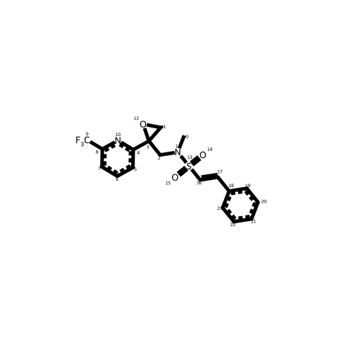 CN(CC1(c2cccc(C(F)(F)F)n2)CO1)S(=O)(=O)C=Cc1ccccc1